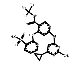 [2H]C([2H])([2H])NC(=O)c1cnc(Nc2cc(C3CC3)nc(C)n2)cc1Nc1ncccc1S(C)(=O)=O